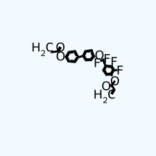 C=CC(=O)Oc1ccc(-c2ccc(OC(F)(F)c3ccc(OC(=O)C=C)c(F)c3F)cc2)cc1